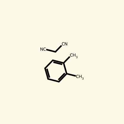 Cc1ccccc1C.N#CCC#N